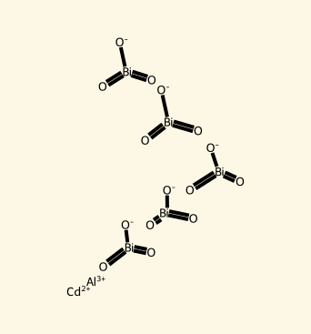 [Al+3].[Cd+2].[O]=[Bi](=[O])[O-].[O]=[Bi](=[O])[O-].[O]=[Bi](=[O])[O-].[O]=[Bi](=[O])[O-].[O]=[Bi](=[O])[O-]